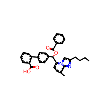 CCCCc1cn2c([C@H](OC(=O)c3ccccc3)c3ccc(-c4ccccc4C(=O)O)cc3)ccc(C)c2n1